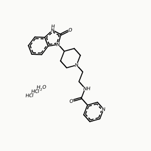 Cl.Cl.O.O=C(NCCN1CCC(n2c(=O)[nH]c3ccccc32)CC1)c1cccnc1